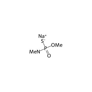 CNP(=O)([S-])OC.[Na+]